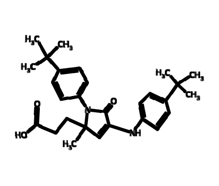 CC(C)(C)c1ccc(NC2=CC(C)(CCC(=O)O)N(c3ccc(C(C)(C)C)cc3)C2=O)cc1